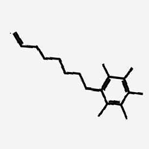 [CH]=CCCCCCCc1c(C)c(C)c(C)c(C)c1C